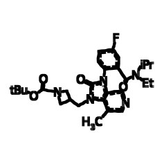 CCN(C(=O)c1cc(F)ccc1-n1c(=O)n(CC2CN(C(=O)OC(C)(C)C)C2)c2c(C)cncc21)C(C)C